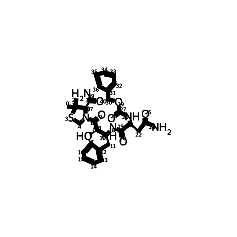 CC1(C)SCN(C(=O)[C@@H](O)[C@H](Cc2ccccc2)NC(=O)[C@H](CC(N)=O)NC(=O)OCc2ccccc2)[C@@H]1C(N)=O